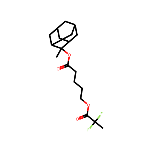 CC(F)(F)C(=O)OCCCCC(=O)OC1(C)C2CC3CC(C2)CC1C3